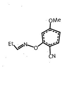 CCC=NOc1cc(OC)ccc1C#N